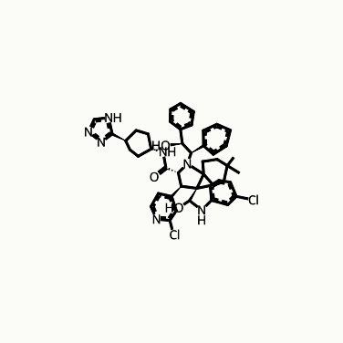 CC1(C)CCC2(CC1)N([C@H](c1ccccc1)[C@@H](O)c1ccccc1)[C@@H](C(=O)N[C@H]1CC[C@H](c3nnc[nH]3)CC1)[C@H](c1ccnc(Cl)c1)[C@@]21c2ccc(Cl)cc2NC1O